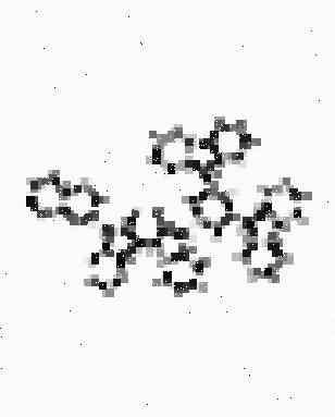 c1ccc2cc(-n3c4ccccc4c4c5c6ccccc6n(-c6nc(-n7c8ccccc8c8ccccc87)cc(-n7c8ccccc8c8ccccc87)n6)c5ccc43)ccc2c1